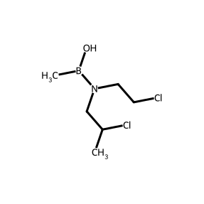 CB(O)N(CCCl)CC(C)Cl